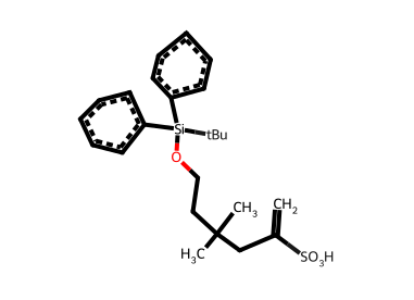 C=C(CC(C)(C)CCO[Si](c1ccccc1)(c1ccccc1)C(C)(C)C)S(=O)(=O)O